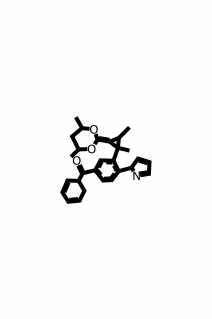 CC1CC(C)OC(=C2C(C)C2(C)c2cc(C(=O)C3C=CC=CC3)ccc2C2C=CC=N2)O1